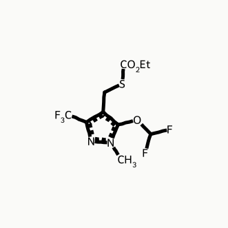 CCOC(=O)SCc1c(C(F)(F)F)nn(C)c1OC(F)F